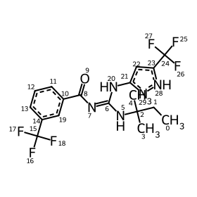 CCC(C)(C)N/C(=N/C(=O)c1cccc(C(F)(F)F)c1)Nc1cc(C(F)(F)F)[nH]n1